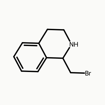 BrCC1NCCc2ccccc21